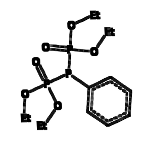 CCOP(=O)(OCC)P(c1ccccc1)P(=O)(OCC)OCC